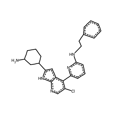 NC1CCCC(c2cc3c(-c4cccc(NCCc5ccccc5)n4)c(Cl)cnc3[nH]2)C1